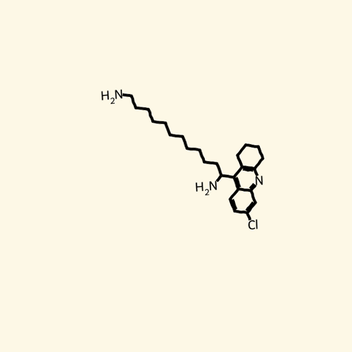 NCCCCCCCCCCCC(N)c1c2c(nc3cc(Cl)ccc13)CCCC2